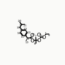 CCOC(=O)OC(C)(C)OC(=O)[C@@H](C)c1ccc(CC(C)C)cc1